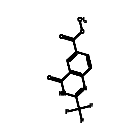 COC(=O)c1ccc2nc(C(F)(F)F)[nH]c(=O)c2c1